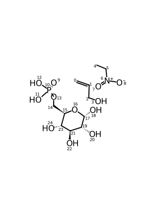 C=CCO.CC[N+](=O)[O-].O=P(O)(O)OC[C@H]1O[C@H](O)[C@H](O)[C@@H](O)[C@@H]1O